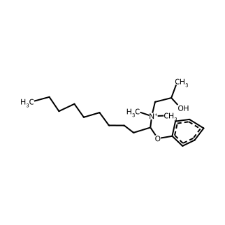 CCCCCCCCCC(Oc1ccccc1)[N+](C)(C)CC(C)O